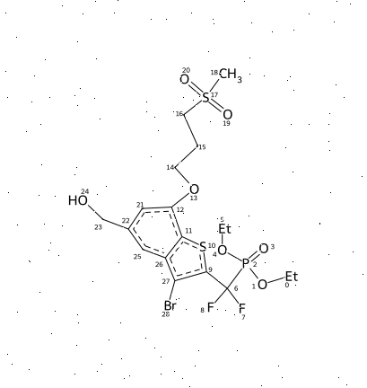 CCOP(=O)(OCC)C(F)(F)c1sc2c(OCCCS(C)(=O)=O)cc(CO)cc2c1Br